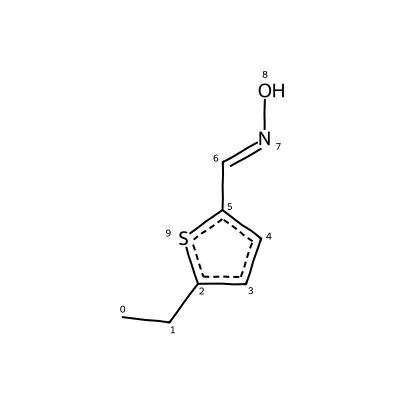 CCc1ccc(C=NO)s1